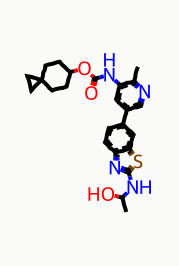 Cc1ncc(-c2ccc3nc(NC(C)O)sc3c2)cc1NC(=O)OC1CCC2(CC1)CC2